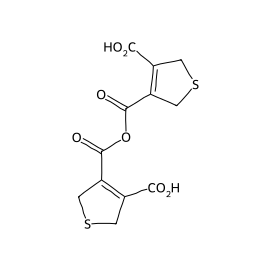 O=C(O)C1=C(C(=O)OC(=O)C2=C(C(=O)O)CSC2)CSC1